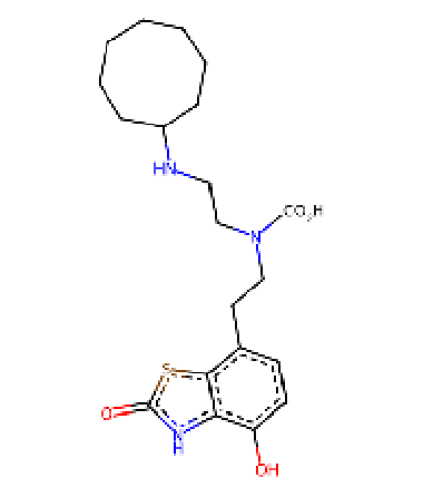 O=C(O)N(CCNC1CCCCCCC1)CCc1ccc(O)c2[nH]c(=O)sc12